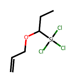 C=CCOC(CC)[Si](Cl)(Cl)Cl